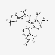 COc1ccc(-c2cccc3c2CCC3=O)c(OCC2(OC(=O)CC(C)(C)C)CC2)c1OC